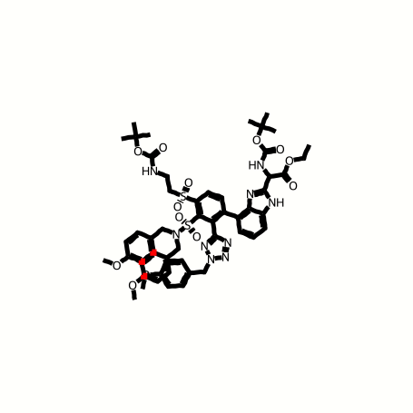 CCOC(=O)C(NC(=O)OC(C)(C)C)c1nc2c(-c3ccc(S(=O)(=O)CCNC(=O)OC(C)(C)C)c(S(=O)(=O)N(Cc4ccc(OC)cc4)Cc4ccc(OC)cc4)c3-c3nnn(Cc4ccc(OC)cc4)n3)cccc2[nH]1